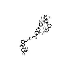 CN1CCN(C2CCCN(c3cnc(C(N)=O)c(Nc4ccc(N5CCC6(CCN(C(=O)CCOCCCc7cccc8c7CN(C7CCC(=O)NC7=O)C8=O)CC6)CC5)cc4)n3)C2)C1=O